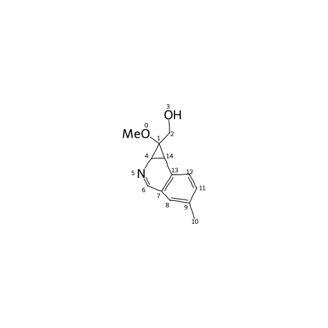 COC1(CO)C2N=Cc3cc(C)ccc3C21